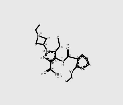 CCOc1ncccc1C(=O)Nc1c(C(N)=O)nn(C2CN(CC)C2)c1CC